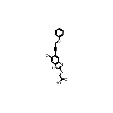 O=C(O)CSc1nc2cc(C#CCOc3ccccc3)c(Cl)cc2[nH]1